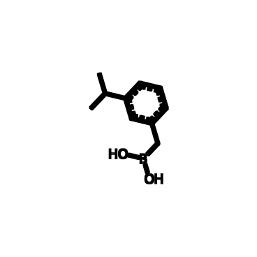 CC(C)c1cccc(CB(O)O)c1